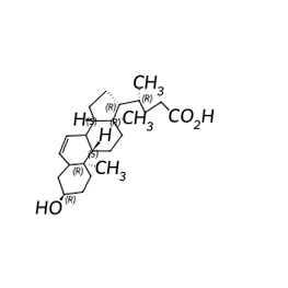 C[C@H](CCC(=O)O)[C@H]1CC[C@H]2C3C=CC4C[C@H](O)CC[C@]4(C)[C@H]3CC[C@]12C